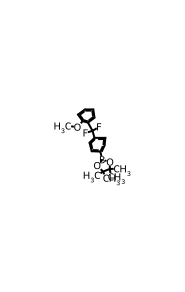 COc1ccccc1C(F)(F)c1ccc(B2OC(C)(C)C(C)(C)O2)cc1